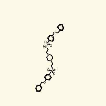 O=S(=O)(NCCN1CCN(CCNS(=O)(=O)c2ccc(OCc3ccccc3)cc2)CC1)c1ccc(OCc2ccccc2)cc1